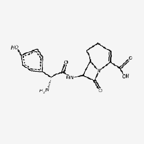 N[C@@H](C(=O)NC1C(=O)N2C(C(=O)O)=CCCC12)c1ccc(O)cc1